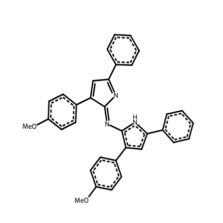 COc1ccc(C2=CC(c3ccccc3)=N/C2=N\c2[nH]c(-c3ccccc3)cc2-c2ccc(OC)cc2)cc1